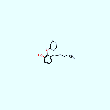 CCCCCCc1cccc(O)c1OC1CCCCC1